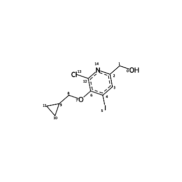 OCc1cc(I)c(OCC2CC2)c(Cl)n1